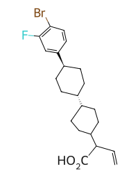 C=CC(C(=O)O)C1CCC([C@H]2CC[C@H](c3ccc(Br)c(F)c3)CC2)CC1